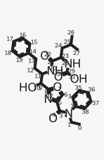 CCN(C(=O)c1coc(C(O)C(CCc2ccccc2)NC(=O)C(CC(C)C)NC(=O)O)n1)c1ccccc1